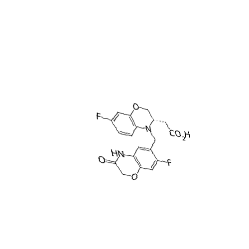 O=C(O)C[C@H]1COc2cc(F)ccc2N1Cc1cc2c(cc1F)OCC(=O)N2